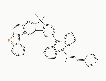 C/C(=C\C=C1\C=CC=CC1)c1c2ccccc2c(-c2ccc3c(c2)-c2cc4c(ccc5sc6ccccc6c54)cc2C3(C)C)c2ccccc12